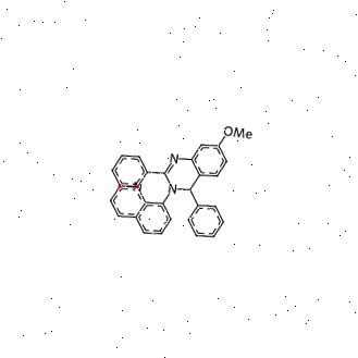 COc1ccc2c(c1)N=C(c1ccccc1)N(c1cccc3cccnc13)C2c1ccccc1